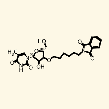 Cc1cn([C@@H]2O[C@H](CO)C(OCCCCCCN3C(=O)c4ccccc4C3=O)C2O)c(=O)[nH]c1=O